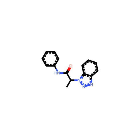 CC(C(=O)Nc1ccccc1)n1nnc2ccccc21